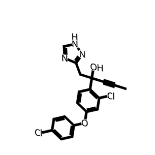 CC#CC(O)(Cc1nc[nH]n1)c1ccc(Oc2ccc(Cl)cc2)cc1Cl